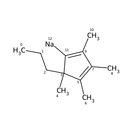 CCCC1(C)C(C)=C(C)C(C)=[C]1[Na]